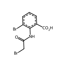 O=C(CBr)Nc1c(Br)cccc1C(=O)O